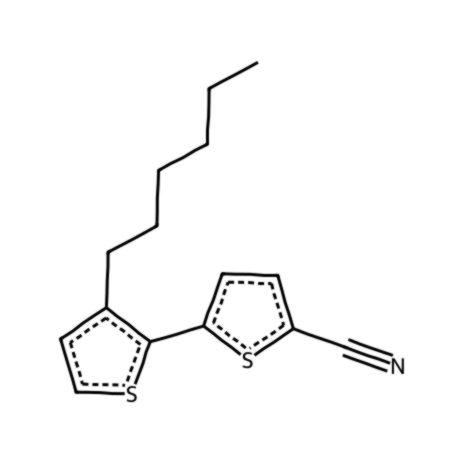 CCCCCCc1ccsc1-c1ccc(C#N)s1